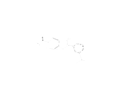 CC/C=C(\C=C/CC(=O)NO)CN(C=O)c1cccc(C(CC)CC)c1